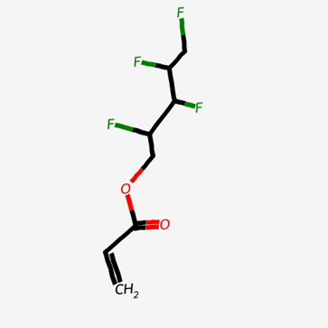 C=CC(=O)OCC(F)C(F)C(F)CF